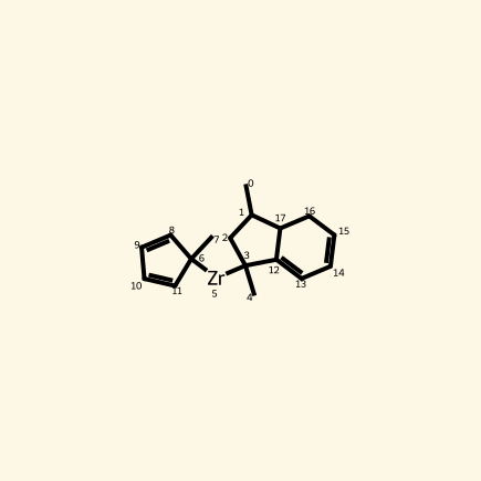 CC1C[C](C)([Zr][C]2(C)C=CC=C2)C2=CC=CCC21